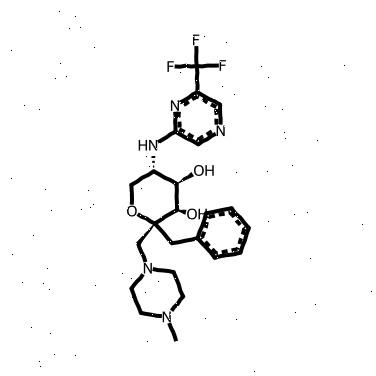 CN1CCN(C[C@@]2(Cc3ccccc3)OC[C@H](Nc3cncc(C(F)(F)F)n3)[C@@H](O)[C@H]2O)CC1